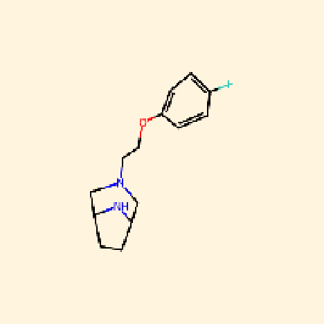 Fc1ccc(OCCN2CC3CCC(C2)N3)cc1